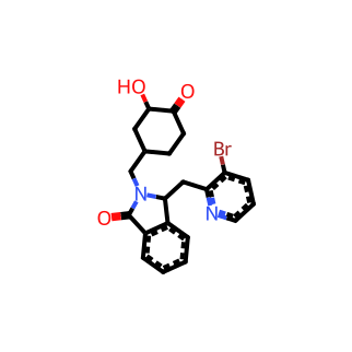 O=C1CCC(CN2C(=O)c3ccccc3C2Cc2ncccc2Br)CC1O